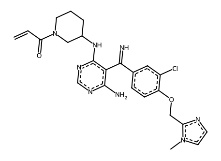 C=CC(=O)N1CCCC(Nc2ncnc(N)c2C(=N)c2ccc(OCc3nccn3C)c(Cl)c2)C1